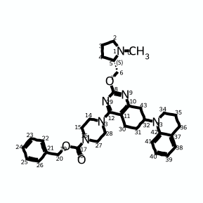 CN1CCC[C@H]1COc1nc2c(c(N3CCN(C(=O)OCc4ccccc4)CC3)n1)CCC(N1CCCc3ccccc31)C2